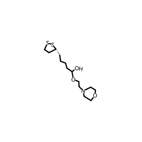 OC(CCCC[C@@H]1CCSS1)OCCN1CCOCC1